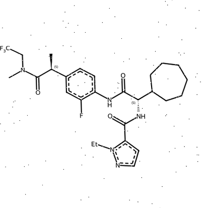 CCn1nccc1C(=O)N[C@H](C(=O)Nc1ccc([C@H](C)C(=O)N(C)CC(F)(F)F)cc1F)C1CCCCCC1